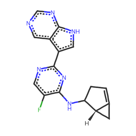 Fc1cnc(-c2c[nH]c3ncncc23)nc1NC1CC=C2C[C@@H]21